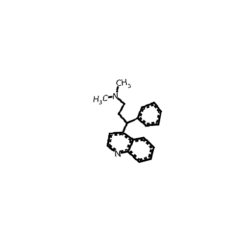 CN(C)CCC(c1ccccc1)c1ccnc2ccccc12